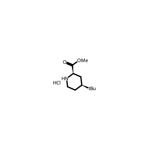 COC(=O)[C@H]1C[C@@H](C(C)(C)C)CCN1.Cl